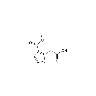 COC(=O)c1ccsc1CC(=O)O